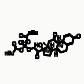 CCCCC(=O)OC(O)(OCC(=O)[C@@]1(O)CC[C@H]2[C@@H]3CCC4=CC(=O)C=C[C@]4(C)[C@H]3C(=O)C[C@@]21C)OC(=O)CCCC